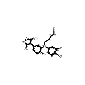 Cc1ccc(-c2c(C)noc2C)cc1N(CCCCBr)c1ccc(C#N)c(Cl)c1